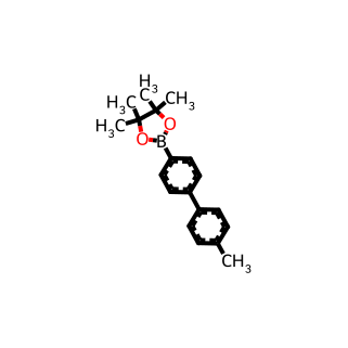 Cc1ccc(-c2ccc(B3OC(C)(C)C(C)(C)O3)cc2)cc1